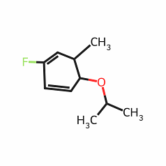 CC(C)OC1C=CC(F)=CC1C